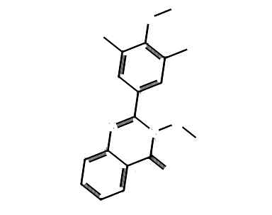 COc1c(C)cc(-c2nc3ccccc3c(=O)n2OC)cc1C